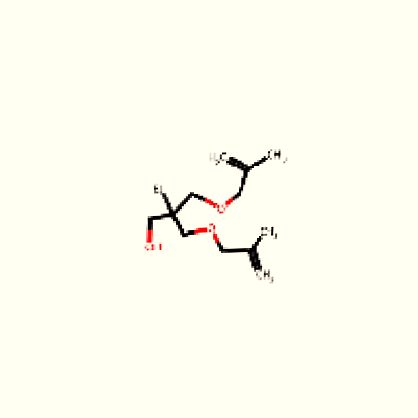 C=C(C)COCC(CC)(CO)COCC(=C)C